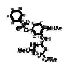 COC(=O)/N=C(\NC(=O)OC)Nc1cc(OS(=O)(=O)c2ccccc2)ccc1NC(C)=O